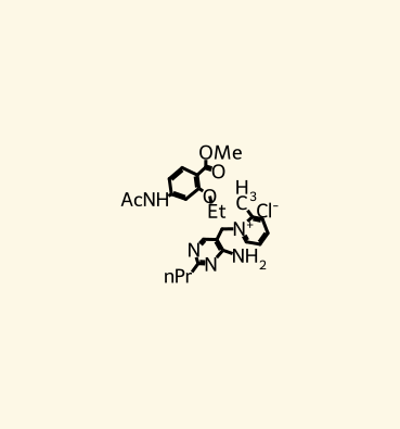 CCCc1ncc(C[n+]2ccccc2C)c(N)n1.CCOc1cc(NC(C)=O)ccc1C(=O)OC.[Cl-]